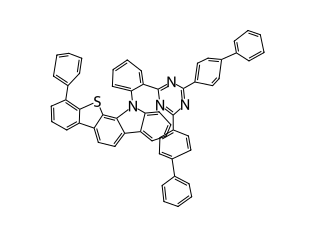 c1ccc(-c2ccc(-c3nc(-c4ccc(-c5ccccc5)cc4)nc(-c4ccccc4-n4c5ccccc5c5ccc6c7cccc(-c8ccccc8)c7sc6c54)n3)cc2)cc1